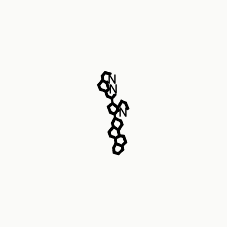 c1ccc2c(c1)ccc1c3ccc(-c4ccc(-c5cnc6c(ccc7cccnc76)c5)c5cccnc45)cc3ccc21